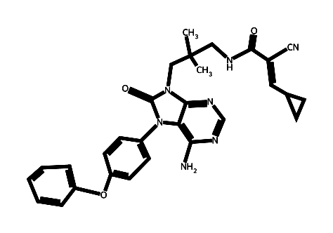 CC(C)(CNC(=O)C(C#N)=CC1CC1)Cn1c(=O)n(-c2ccc(Oc3ccccc3)cc2)c2c(N)ncnc21